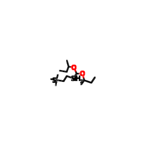 CCC(C)OC(OC(C)CC)[SiH2]CC[Si](C)(C)C